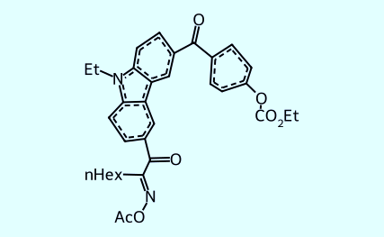 CCCCCC/C(=N\OC(C)=O)C(=O)c1ccc2c(c1)c1cc(C(=O)c3ccc(OC(=O)OCC)cc3)ccc1n2CC